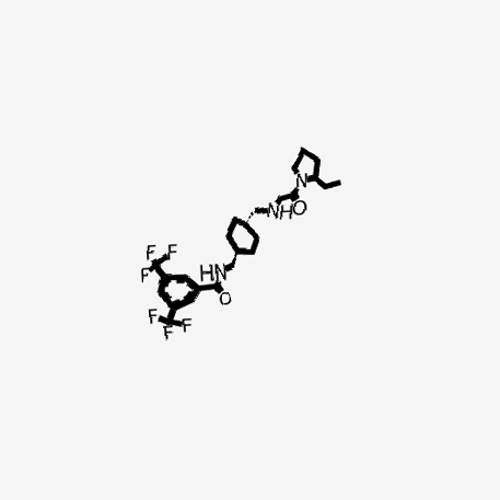 CCC1CCCN1C(=O)CNC[C@H]1CC[C@H](CNC(=O)c2cc(C(F)(F)F)cc(C(F)(F)F)c2)CC1